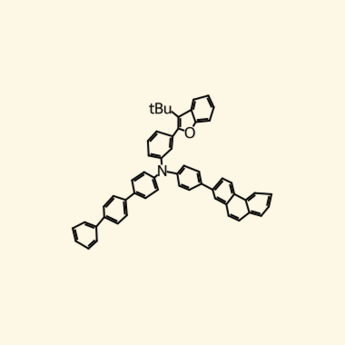 CC(C)(C)c1c(-c2cccc(N(c3ccc(-c4ccc(-c5ccccc5)cc4)cc3)c3ccc(-c4ccc5c(ccc6ccccc65)c4)cc3)c2)oc2ccccc12